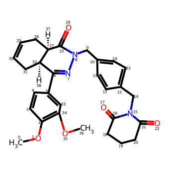 COc1ccc(C2=NN(Cc3ccc(CN4C(=O)CCCC4=O)cc3)C(=O)[C@@H]3CC=CC[C@H]23)cc1OC